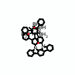 Bc1c(C)c(B)c(-c2ccc(-n3c4ccccc4c4ccc5c6ccccc6n(-c6ccc(-c7nc(-c8ccccc8)nc(-c8ccccc8)n7)cc6)c5c43)cc2-c2ccccc2)c(B)c1O